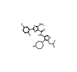 Nc1sc(-c2cc(F)ccc2F)nc1C(=O)Nc1cnn(CC(F)F)c1N1CCCNCC1